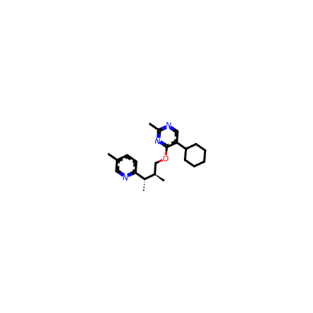 Cc1ccc([C@@H](C)[C@H](C)COc2nc(C)ncc2C2CCCCC2)nc1